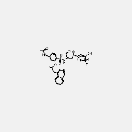 CC(=O)Nc1ccc(S(=O)(=O)NC(C=O)CC(=O)O)c(OC(C)Cc2cncc3ccccc23)c1.O=C(O)C(F)(F)F